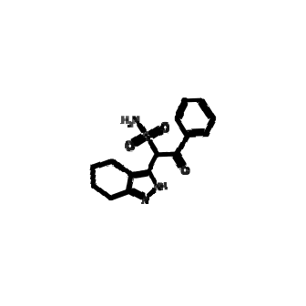 NS(=O)(=O)C(C(=O)c1ccccc1)c1[nH]nc2c1CCCC2